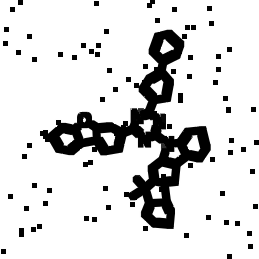 CC1(C)c2ccccc2-c2cc3c4ccccc4n(-c4nc(-c5ccc(-c6ccccc6)cc5)nc(-c5ccc6c(c5)oc5ccccc56)n4)c3cc21